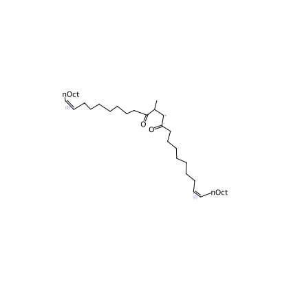 CCCCCCCC/C=C\CCCCCCCC(=O)[CH]C(C)C(=O)CCCCCCC/C=C\CCCCCCCC